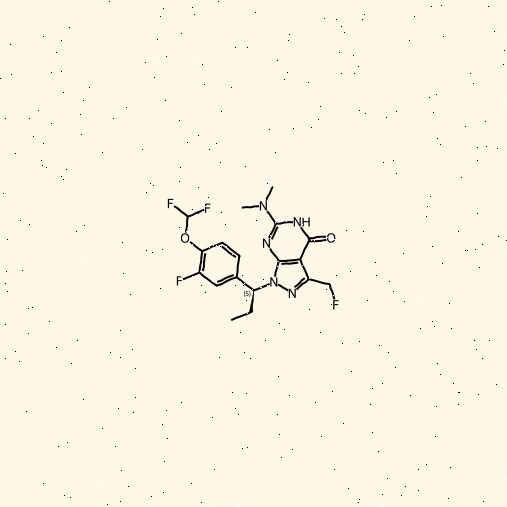 CC[C@@H](c1ccc(OC(F)F)c(F)c1)n1nc(CF)c2c(=O)[nH]c(N(C)C)nc21